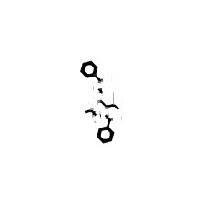 COC(C)O[C@H](COC(=O)c1ccccc1)C(OC(=O)c1ccccc1)C(C)F